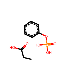 CCC(=O)O.O=P(O)(O)Oc1ccccc1